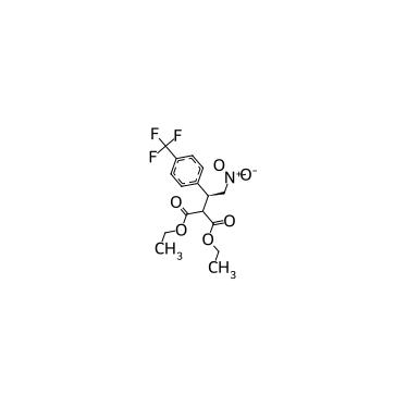 CCOC(=O)C(C(=O)OCC)[C@H](C[N+](=O)[O-])c1ccc(C(F)(F)F)cc1